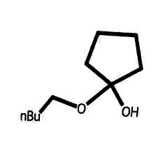 CCCCCOC1(O)CCCC1